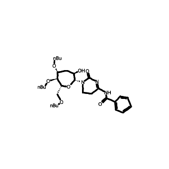 CCCCOC[C@H]1O[C@@H](N2CCC(NC(=O)c3ccccc3)=NC2=O)[C@H](O)C[C@@H](OCCCC)[C@@H]1OCCCC